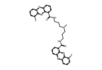 CN(CCCNC(=O)c1cccc2nc3cccc(F)c3nc12)CCCNC(=O)c1cccc2nc3cccc(F)c3nc12